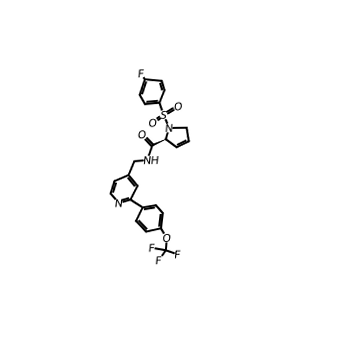 O=C(NCc1ccnc(-c2ccc(OC(F)(F)F)cc2)c1)[C@@H]1C=CCN1S(=O)(=O)c1ccc(F)cc1